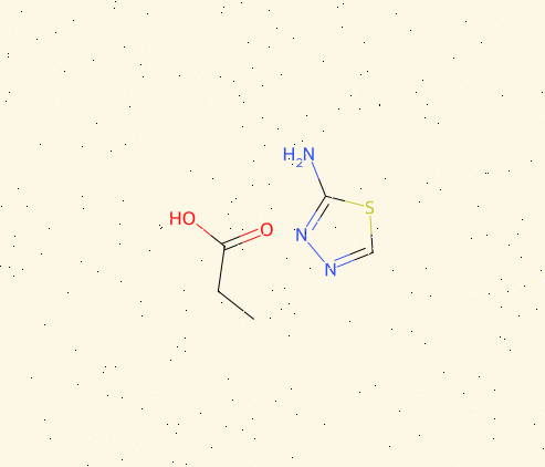 CCC(=O)O.Nc1nncs1